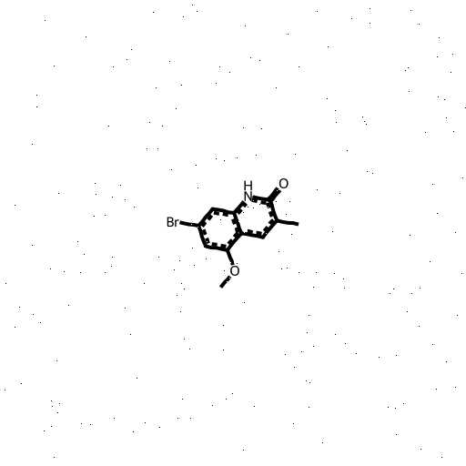 COc1cc(Br)cc2[nH]c(=O)c(C)cc12